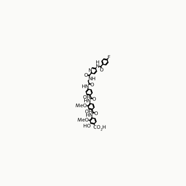 COc1c(NC(=O)c2ccc(NC(=O)c3ccc(NC(=O)CNC(=O)c4ccc(NC(=O)c5ccc(F)cc5)cn4)cc3O)c(OC)c2O)ccc(C(=O)O)c1O